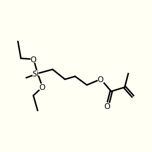 C=C(C)C(=O)OCCCC[Si](C)(OCC)OCC